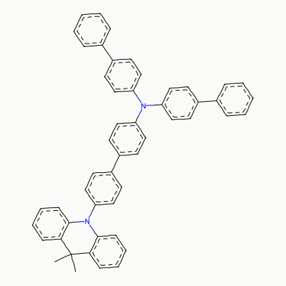 CC1(C)c2ccccc2N(c2ccc(-c3ccc(N(c4ccc(-c5ccccc5)cc4)c4ccc(-c5ccccc5)cc4)cc3)cc2)c2ccccc21